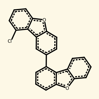 Clc1cccc2oc3ccc(-c4cccc5oc6ccccc6c45)cc3c12